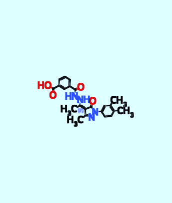 CC1=NN(c2ccc(C)c(C)c2)C(=O)/C1=C(/C)NNC(=O)c1cccc(C(=O)O)c1